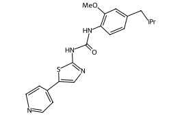 COc1cc(CC(C)C)ccc1NC(=O)Nc1ncc(-c2ccncc2)s1